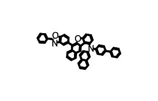 c1ccc(-c2ccc(N(c3ccc4ccccc4c3)c3cccc4oc5c(-c6ccc7oc(-c8ccccc8)nc7c6)c6ccccc6cc5c34)cc2)cc1